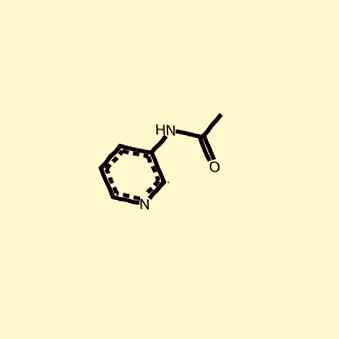 CC(=O)Nc1[c]nccc1